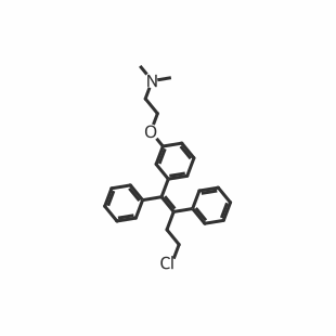 CN(C)CCOc1cccc(C(=C(CCCl)c2ccccc2)c2ccccc2)c1